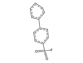 O=S(=O)(F)c1ccc(-c2ccccc2)cc1